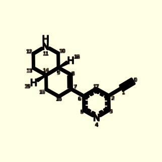 C#Cc1cncc(C2=C[C@H]3CNCC[C@H]3CC2)c1